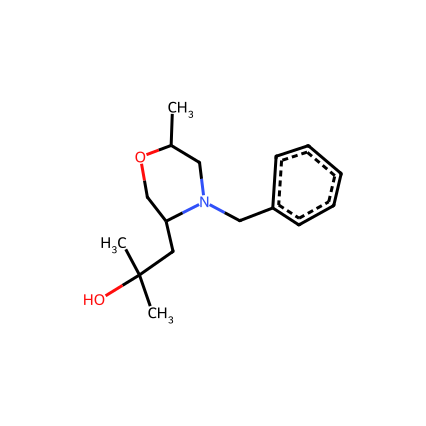 CC1CN(Cc2ccccc2)C(CC(C)(C)O)CO1